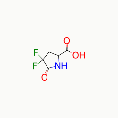 O=C(O)C1CC(F)(F)C(=O)N1